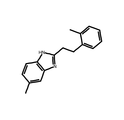 Cc1ccc2[nH]c(CCc3ccccc3C)nc2c1